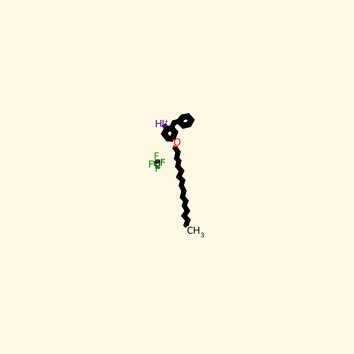 CCCCCCCCCCCCCCCCCCOc1ccc([IH+])c(Cc2ccccc2)c1.F[B-](F)(F)F